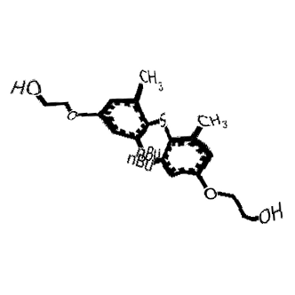 CCCCc1cc(OCCO)cc(C)c1Sc1c(C)cc(OCCO)cc1CCCC